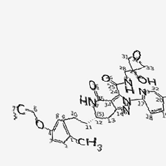 Cc1ccc(OCC(F)(F)F)cc1CC[C@H]1Cc2nn(-c3ccc(C#N)cn3)c(C(=O)NCC3(O)COC3)c2C(=O)N1